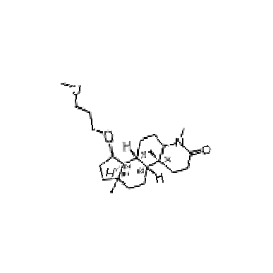 COCCCOC1CC[C@@]2(C)CC[C@@H]3[C@@H](CCC4N(C)C(=O)CC[C@@]43C)[C@H]12